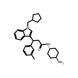 Cc1cccc(C(CC(=O)N[C@H]2CC[C@H](N)CC2)c2cn(CC3CCCC3)c3ccccc23)c1